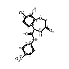 O=C1COc2c(ccc(Cl)c2Cl)C(C(=O)Nc2ccc([N+](=O)[O-])cc2)N1